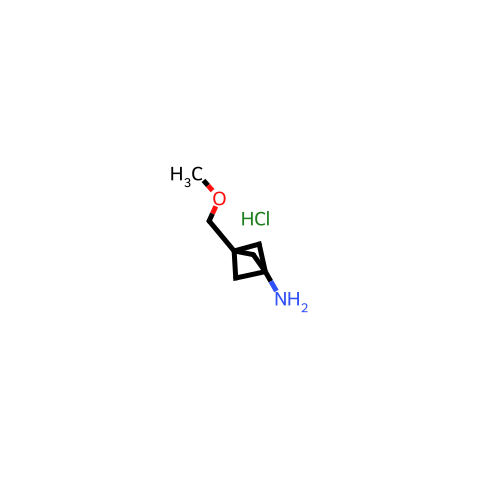 COCC12CC(N)(C1)C2.Cl